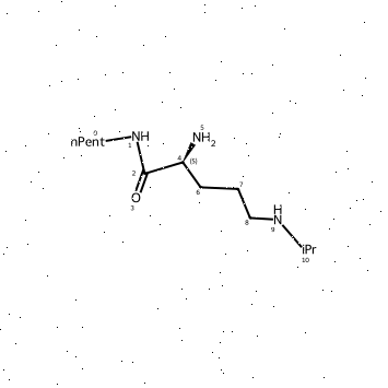 CCCCCNC(=O)[C@@H](N)CCCNC(C)C